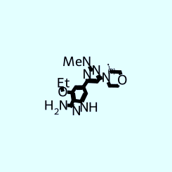 CCOc1cc(-c2cc(N3CCOC[C@H]3C)nc(NC)n2)cc2[nH]nc(N)c12